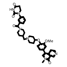 COc1cc(-c2cn(C)c(=O)c3cnccc23)ccc1OC1CCN(CC2CCN(C(=O)c3cccc(N4CCC(=O)NC4=O)c3)CC2)CC1